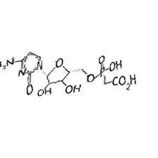 Nc1ccn([C@@H]2O[C@H](COP(=O)(O)CC(=O)O)C(O)C2O)c(=O)n1